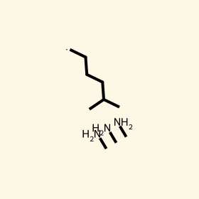 CN.CN.CN.[CH2]CCCC(C)C